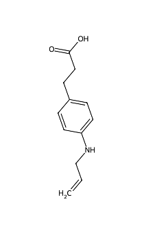 C=CCNc1ccc(CCC(=O)O)cc1